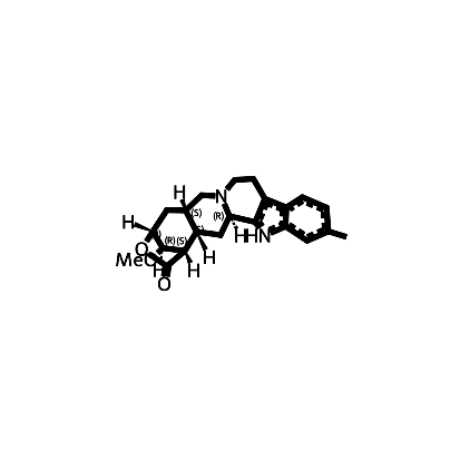 CO[C@@H]1[C@H]2C(=O)O[C@@H]1C[C@@H]1CN3CCc4c([nH]c5cc(C)ccc45)[C@H]3C[C@@H]12